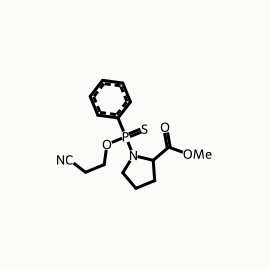 COC(=O)C1CCCN1P(=S)(OCCC#N)c1ccccc1